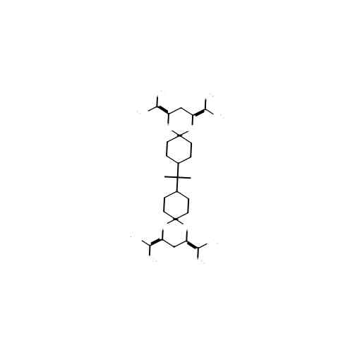 CC(C)(C1CCC2(CC1)OC(=C(C#N)C#N)CC(=C(C#N)C#N)O2)C1CCC2(CC1)OC(=C(C#N)C#N)CC(=C(C#N)C#N)O2